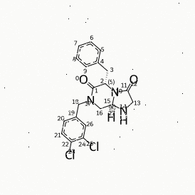 O=C1[C@H](Cc2ccccc2)N2C(=O)CN[C@H]2CN1Cc1ccc(Cl)c(Cl)c1